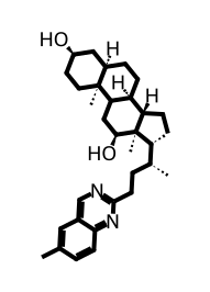 Cc1ccc2nc(CC[C@@H](C)[C@H]3CC[C@H]4[C@@H]5CC[C@@H]6C[C@H](O)CC[C@]6(C)C5C[C@H](O)[C@]34C)ncc2c1